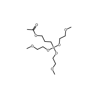 COCCO[Si](CCCOC(C)=O)(OCCOC)OCCOC